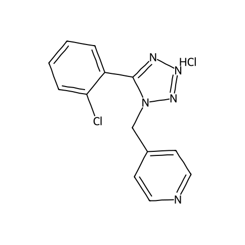 Cl.Clc1ccccc1-c1nnnn1Cc1ccncc1